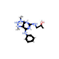 CC(O)CNc1nc(Nc2ccccc2)c2c(n1)N(C(C)C)NN2C(C)C